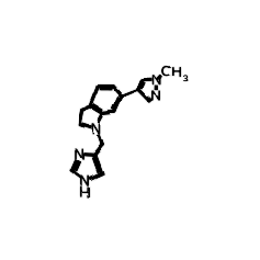 Cn1cc(-c2ccc3c(c2)N(Cc2c[nH]cn2)CC3)cn1